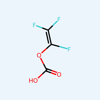 O=C(O)OC(F)=C(F)F